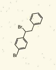 Brc1ccc(C(Br)Cc2ccccc2)cc1